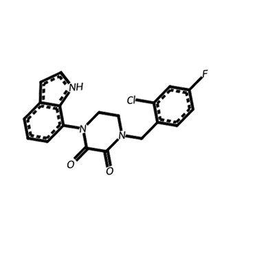 O=C1C(=O)N(c2cccc3cc[nH]c23)CCN1Cc1ccc(F)cc1Cl